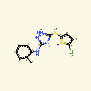 Cc1ccccc1Nc1n[nH]c(Sc2ccc(Cl)s2)n1